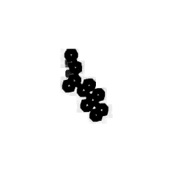 c1ccc2c(-c3c4ccccc4c(-c4ccc(-c5cc6c7ccc8c9ccccc9sc8c7oc6c6ccccc56)c5ccccc45)c4ccccc34)cccc2c1